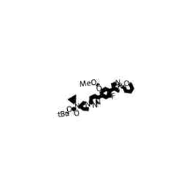 COCOc1cc(-c2cnn(C3CCCCO3)c2)c(F)cc1-c1ccc(N2CC[C@@H](N(C(=O)OC(C)(C)C)C3CC3)C2)nn1